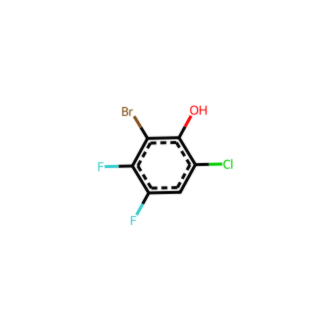 Oc1c(Cl)cc(F)c(F)c1Br